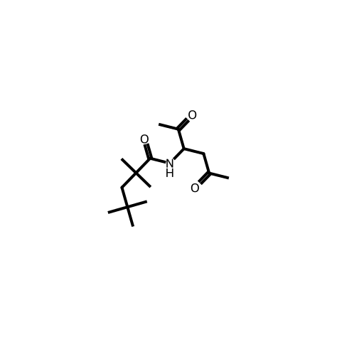 CC(=O)CC(NC(=O)C(C)(C)CC(C)(C)C)C(C)=O